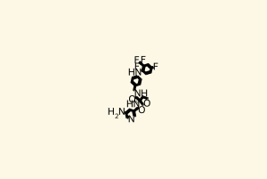 Nc1cncc(C(=O)N[C@@]2(C(=O)NCc3ccc(Nc4ccc(F)cc4C(F)(F)F)cc3)CCOC2)c1